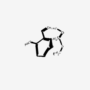 C=Cc1ccccc1O.CO[SiH2]OC